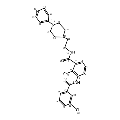 O=C(Nc1cccc(C(=O)NCCC2CCN(c3ccncc3)CC2)c1Cl)c1cccc(Cl)c1